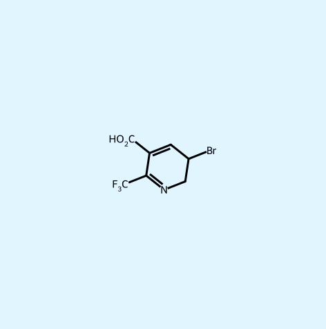 O=C(O)C1=CC(Br)CN=C1C(F)(F)F